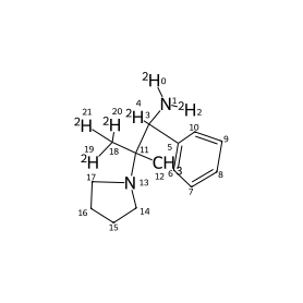 [2H]N([2H])C([2H])(c1ccccc1)C(C)(N1CCCC1)C([2H])([2H])[2H]